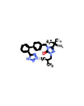 CC(C)Cn1nc(C(C)(C)C)n(Cc2ccc(-c3ccccc3-c3nnn[nH]3)cc2)c1=O